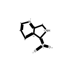 O=S(=O)=C1NCc2ncccc21